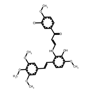 COc1ccc(C(=O)C=CNc2c(C=Cc3cc(OC)c(OC)c(OC)c3)ccc(OC)c2O)cc1Cl